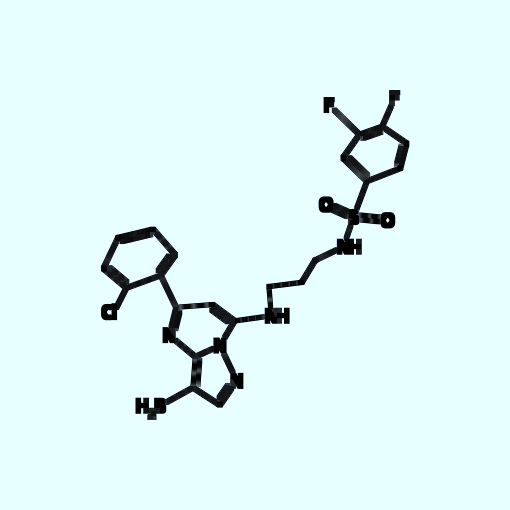 Bc1cnn2c(NCCCNS(=O)(=O)c3ccc(F)c(F)c3)cc(-c3ccccc3Cl)nc12